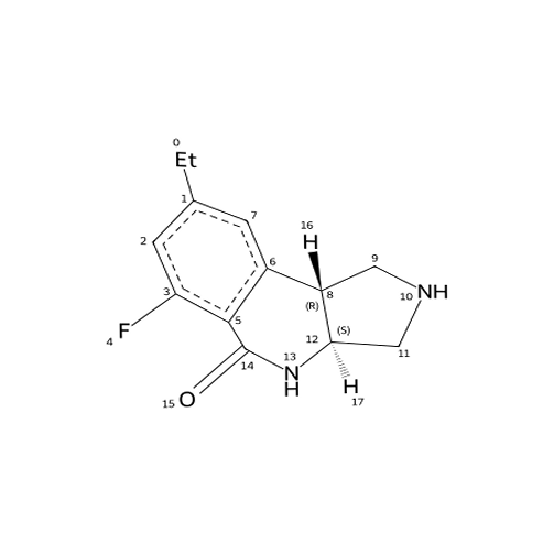 CCc1cc(F)c2c(c1)[C@@H]1CNC[C@H]1NC2=O